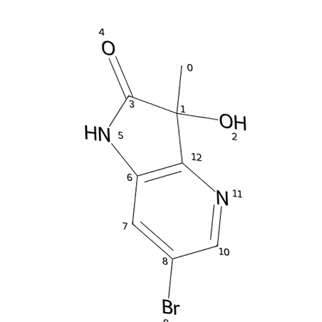 CC1(O)C(=O)Nc2cc(Br)cnc21